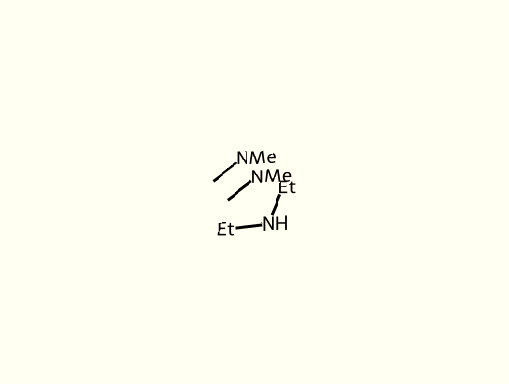 CCNCC.CNC.CNC